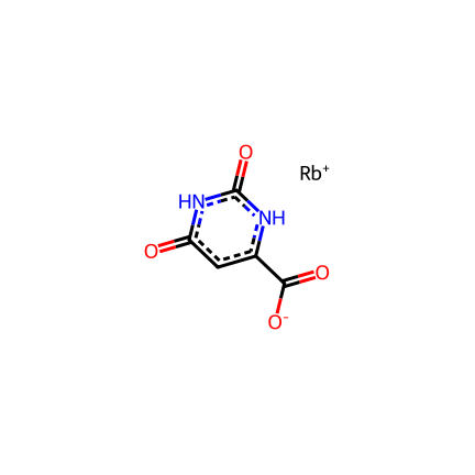 O=C([O-])c1cc(=O)[nH]c(=O)[nH]1.[Rb+]